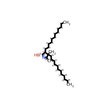 Br.CCCCCCCCCCCCC1CN=C(C)C1(C)CCCCCCCCCCCC